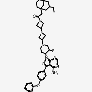 CCC1CC2CCCC(CC(=O)N3CC(N4CC(N5CCC(n6nc(-c7ccc(Oc8ccccc8)cc7)c7c(N)ncnc76)C(F)C5)C4)C3)(C1)C2